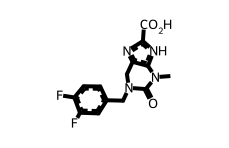 CN1C(=O)N(Cc2ccc(F)c(F)c2)Cc2nc(C(=O)O)[nH]c21